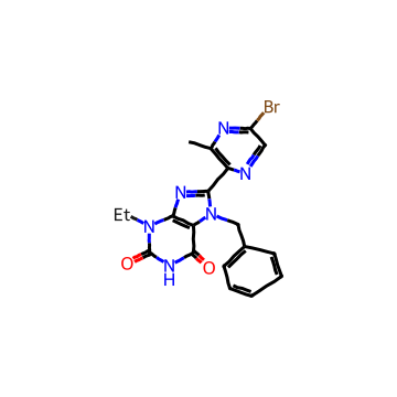 CCn1c(=O)[nH]c(=O)c2c1nc(-c1ncc(Br)nc1C)n2Cc1ccccc1